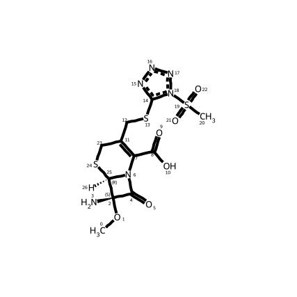 CO[C@@]1(N)C(=O)N2C(C(=O)O)=C(CSc3nnnn3S(C)(=O)=O)CS[C@@H]21